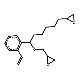 C=Cc1ccccc1C(CCCCCC1CO1)OCC1CO1